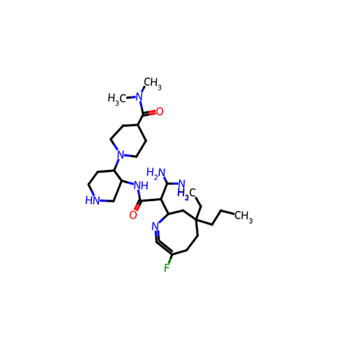 CCCC1(CC)CCC(F)=C=NC(C(C(=O)NC2CNCCC2N2CCC(C(=O)N(C)C)CC2)C(N)N)C1